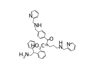 NCC(c1ccccc1)c1ccccc1.O=C(O)[C@@H](CCCNCc1ccccn1)C(=O)c1ccc(CNCc2ccccn2)cc1